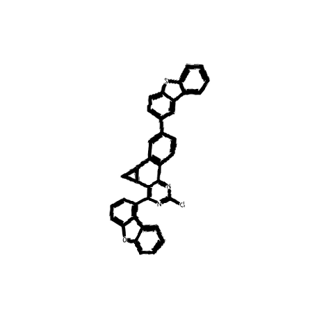 Clc1nc2c(c(-c3cccc4oc5ccccc5c34)n1)C1CC1c1cc(-c3ccc4sc5ccccc5c4c3)ccc1-2